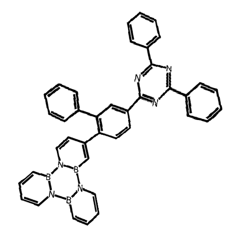 C1=CB2N3C=CC=CB3N3C=CC(c4ccc(-c5nc(-c6ccccc6)nc(-c6ccccc6)n5)cc4-c4ccccc4)=CB3N2C=C1